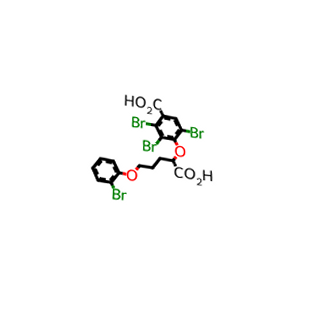 O=C(O)c1cc(Br)c(OC(CCCOc2ccccc2Br)C(=O)O)c(Br)c1Br